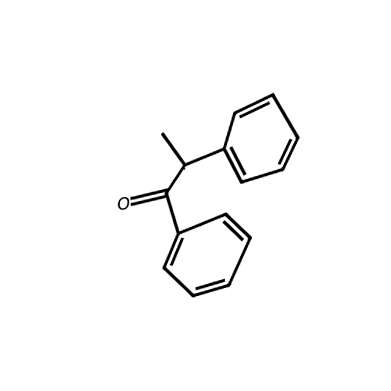 C[C](C(=O)c1ccccc1)c1ccccc1